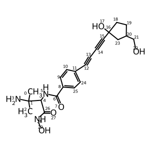 CC(C)(N)C(NC(=O)c1ccc(C#CC#CC2(O)CCC(CO)C2)cc1)C(=O)NO